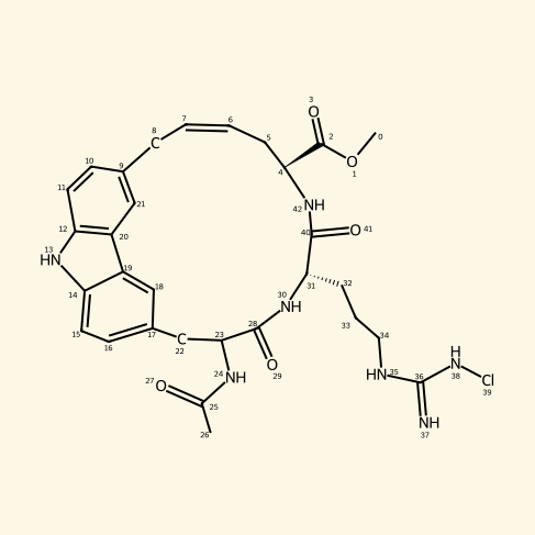 COC(=O)[C@@H]1CC=CCc2ccc3[nH]c4ccc(cc4c3c2)CC(NC(C)=O)C(=O)N[C@@H](CCCNC(=N)NCl)C(=O)N1